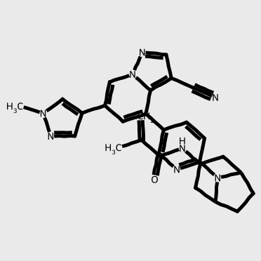 C=C(C)C(=O)NC1CC2CCC(C1)N2c1ccc(-c2cc(-c3cnn(C)c3)cn3ncc(C#N)c23)cn1